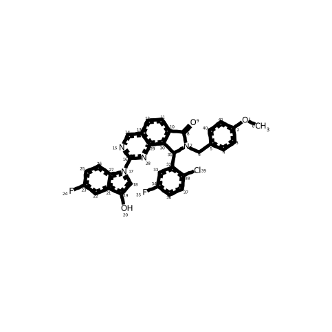 COc1ccc(CN2C(=O)c3ccc4cnc(-n5cc(O)c6cc(F)ccc65)nc4c3C2c2cc(F)ccc2Cl)cc1